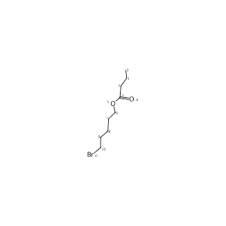 CCCC(=O)OCCCCCBr